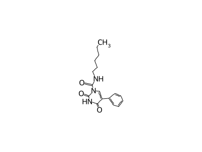 CCCCCCNC(=O)n1cc(-c2ccccc2)c(=O)[nH]c1=O